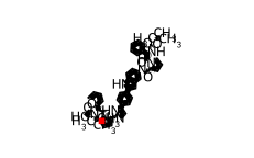 CC(C)(C)OC(=O)N[C@@H](C(=O)N1CCC[C@H]1C(=O)Nc1ccc2[nH]c(-c3ccc(-c4cnc([C@@H]5CCCN5C[C@H](C5C=CC=CO5)N(C(=O)O)C(C)(C)C)[nH]4)cc3)cc2c1)c1ccccc1